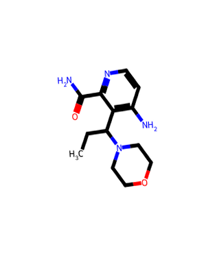 CCC(c1c(N)ccnc1C(N)=O)N1CCOCC1